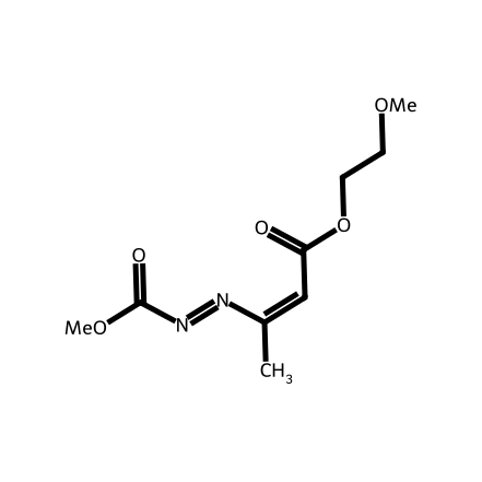 COCCOC(=O)/C=C(/C)N=NC(=O)OC